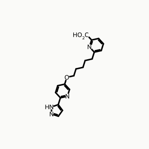 O=C(O)c1cccc(CCCCCOc2ccc(-c3ccn[nH]3)nc2)n1